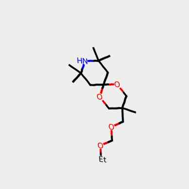 CCOCOCC1(C)COC2(CC(C)(C)NC(C)(C)C2)OC1